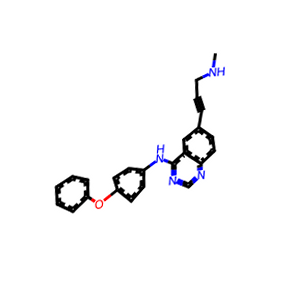 CNCC#Cc1ccc2ncnc(Nc3ccc(Oc4ccccc4)cc3)c2c1